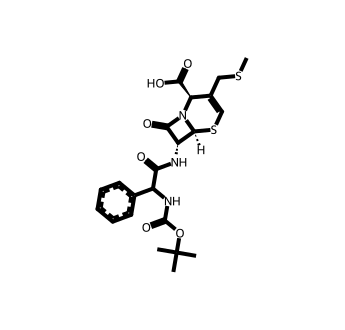 CSCC1=CS[C@H]2[C@H](NC(=O)C(NC(=O)OC(C)(C)C)c3ccccc3)C(=O)N2[C@H]1C(=O)O